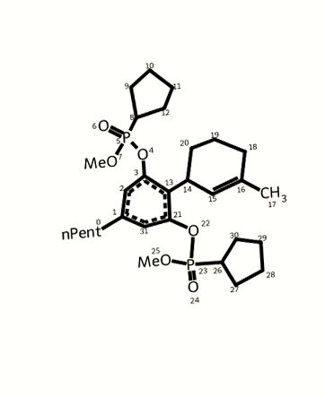 CCCCCc1cc(OP(=O)(OC)C2CCCC2)c(C2C=C(C)CCC2)c(OP(=O)(OC)C2CCCC2)c1